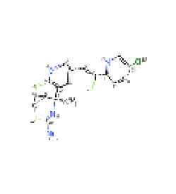 CC1(c2cc(C=C(F)c3ccc(Cl)cn3)cnc2F)N=C(N)SC2CC21